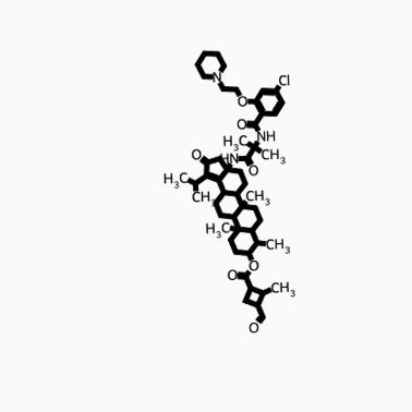 CC(C)C1=C2C3CCC4C(C)(CCC5C(C)C(OC(=O)C6CC(C=O)C6C)CCC54C)C3CCC2(NC(=O)C(C)(C)NC(=O)c2ccc(Cl)cc2OCCN2CCCCC2)CC1=O